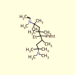 C=CN(C)C(C)(C)CC(C)(C)C(CC)(C(C)CCC)C(C)CC(C)(C)N(C)C